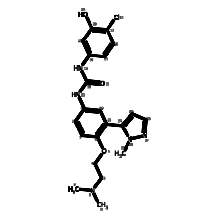 CN(C)CCOc1ccc(NC(=O)Nc2ccc(Cl)c(O)c2)cc1-c1ccnn1C